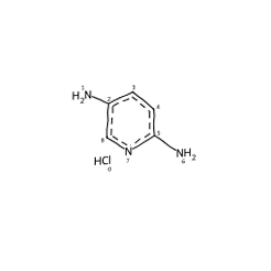 Cl.Nc1ccc(N)nc1